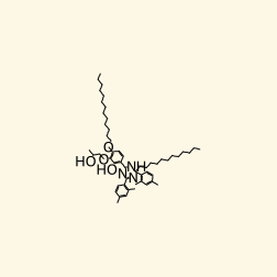 CCCCCCCCCCCCCOc1ccc(C2=NC(c3ccc(C)cc3C)=NC(CCCCCCCCCCCC)(c3ccc(C)cc3C)N2)c(O)c1OCC(C)O